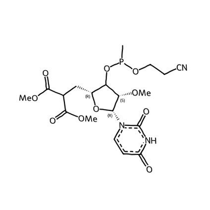 COC(=O)C(C[C@H]1O[C@@H](n2ccc(=O)[nH]c2=O)[C@@H](OC)C1OP(C)OCCC#N)C(=O)OC